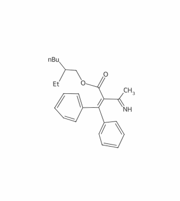 CCCCC(CC)COC(=O)C(C(C)=N)=C(c1ccccc1)c1ccccc1